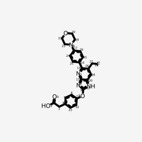 O=C(O)Cc1ccc(Oc2nc3nc(-c4ccc(N5CCOCC5)cc4)c(CF)cc3[nH]2)cc1